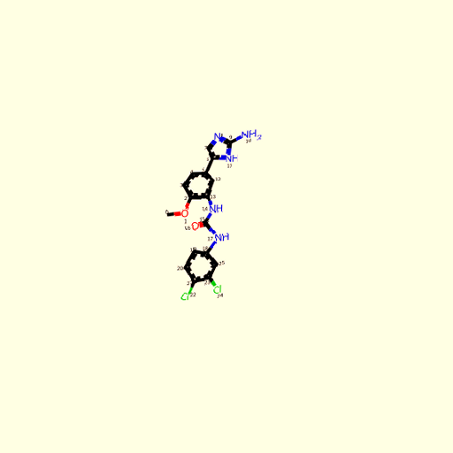 COc1ccc(-c2cnc(N)[nH]2)cc1NC(=O)Nc1ccc(Cl)c(Cl)c1